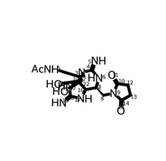 CC(=O)NC1CN2C(=N)N[C@@H](CN3C(=O)CCC3=O)C3NC(=N)NC32C1(O)O